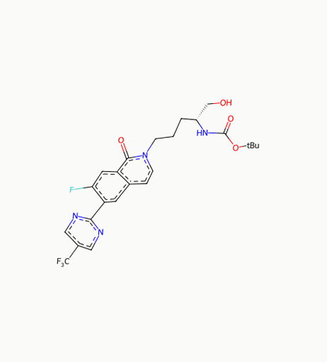 CC(C)(C)OC(=O)N[C@@H](CO)CCCn1ccc2cc(-c3ncc(C(F)(F)F)cn3)c(F)cc2c1=O